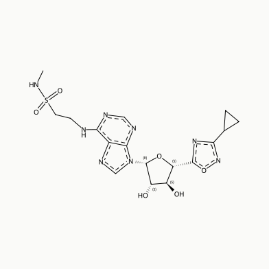 CNS(=O)(=O)CCNc1ncnc2c1ncn2[C@@H]1O[C@H](c2nc(C3CC3)no2)[C@@H](O)[C@@H]1O